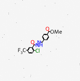 COC(=O)c1ccc(/C=N/NC(=O)c2cc(C(F)(F)F)ccc2Cl)cc1